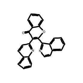 O=c1c(-c2ccc3ccccc3n2)c(-c2nccc3ccccc23)oc2ccccc12